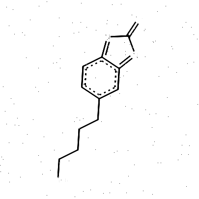 CCCCCCCCCCCCc1ccc2c(c1)=NC(=O)N=2